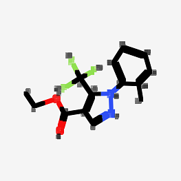 CCOC(=O)c1cnn(-c2ccccc2C)c1C(F)(F)F